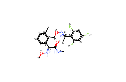 CNC(=O)/C(=N/OC)c1cccc(C)c1CO/N=C(\C)c1c(F)cc(F)cc1F